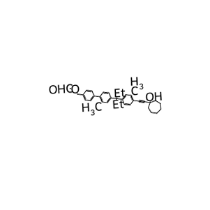 CCC(CC)(c1ccc(C#CC2(O)CCCCCC2)c(C)c1)c1ccc(-c2ccc(COC=O)cc2)c(C)c1